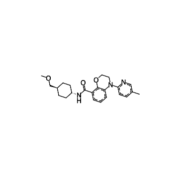 COC[C@H]1CC[C@H](NC(=O)c2cccc3c2OCCN3c2ccc(C)cn2)CC1